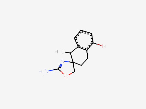 CC1c2cccc(Br)c2CCC12COC(N)=N2